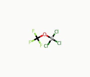 FC(F)(F)O[Si](Cl)(Cl)Cl